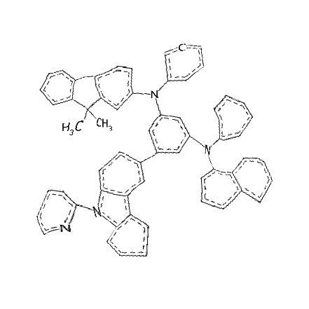 CC1(C)c2ccccc2-c2ccc(N(c3ccccc3)c3cc(-c4ccc5c(c4)c4ccccc4n5-c4ccccn4)cc(N(c4ccccc4)c4cccc5ccccc45)c3)cc21